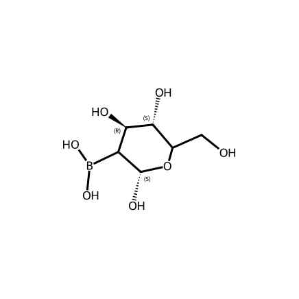 OCC1O[C@H](O)C(B(O)O)[C@@H](O)[C@@H]1O